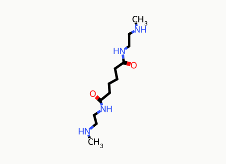 CNCCNC(=O)CCCCC(=O)NCCNC